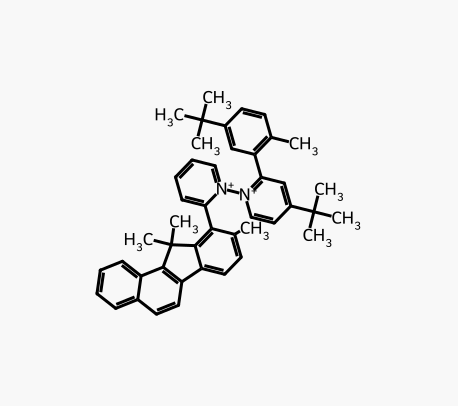 Cc1ccc(C(C)(C)C)cc1-c1cc(C(C)(C)C)cc[n+]1-[n+]1ccccc1-c1c(C)ccc2c1C(C)(C)c1c-2ccc2ccccc12